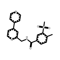 Cc1ccc(C(=O)NCc2cc(-c3ccncc3)ccn2)cc1S(C)(=O)=O